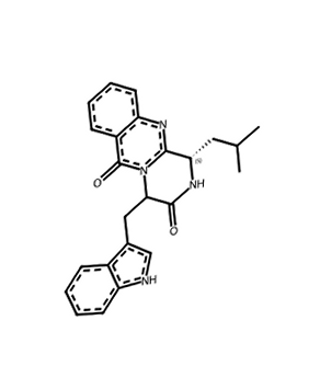 CC(C)C[C@@H]1NC(=O)C(Cc2c[nH]c3ccccc23)n2c1nc1ccccc1c2=O